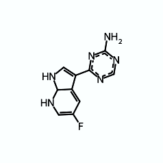 Nc1ncnc(C2=CNC3NC=C(F)C=C23)n1